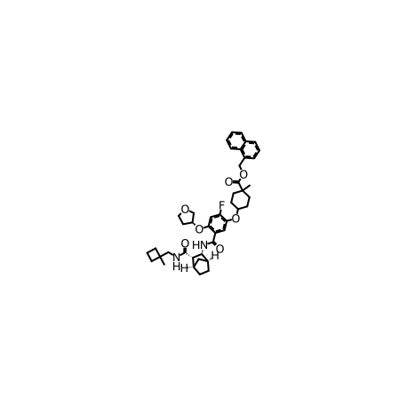 CC1(CNC(=O)[C@H]2[C@@H]3CC[C@@H](C3)[C@H]2NC(=O)c2cc(OC3CCC(C)(C(=O)OCc4cccc5ccccc45)CC3)c(F)cc2O[C@H]2CCOC2)CCC1